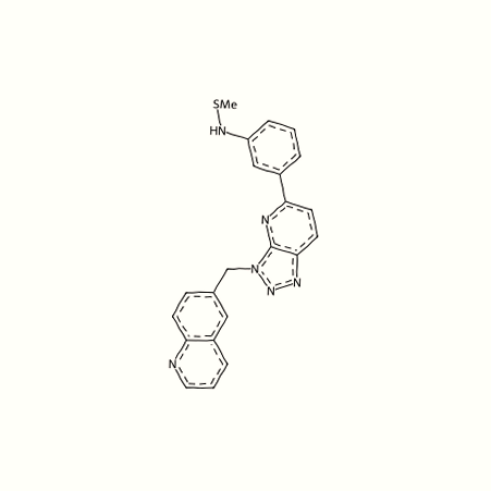 CSNc1cccc(-c2ccc3nnn(Cc4ccc5ncccc5c4)c3n2)c1